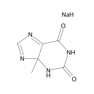 CC12N=CN=C1C(=O)NC(=O)N2.[NaH]